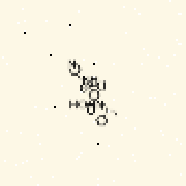 CCC(CNc1cc(Cl)c(S(=O)(=O)NCc2ccncc2)cc1C(=O)O)c1ccccc1